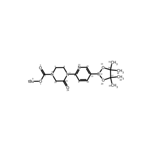 CC(C)(C)OC(=O)N1CCN(c2ccc(B3OC(C)(C)C(C)(C)O3)cn2)C(=O)C1